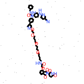 N#Cc1ccc(NC2CCC(N(C(=O)NCc3ccccc3)c3ccc(-c4ccnc(OCCOCCCCOCCCCOCCCCCNC(=O)COc5cccc6c5C(=O)N(C5CCC(=O)NC5=O)C6=O)c4)cc3)CC2)nc1